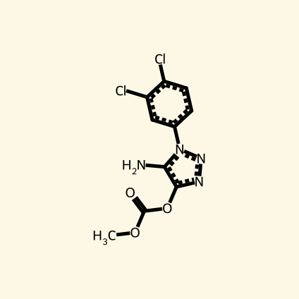 COC(=O)Oc1nnn(-c2ccc(Cl)c(Cl)c2)c1N